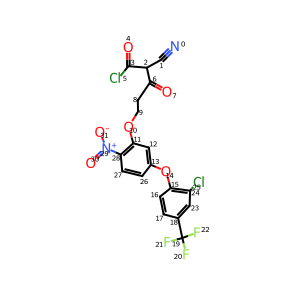 N#CC(C(=O)Cl)C(=O)CCOc1cc(Oc2ccc(C(F)(F)F)cc2Cl)ccc1[N+](=O)[O-]